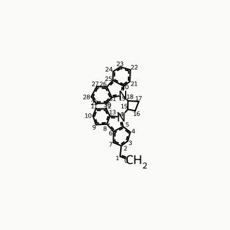 C=Cc1ccc2c(c1)c1ccccc1n2C1CCC1n1c2ccccc2c2ccccc21